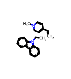 C=CC1=CCN(C)C=C1.CCn1c2ccccc2c2ccccc21